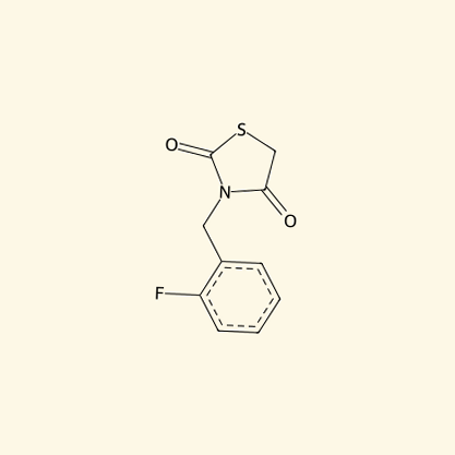 O=C1CSC(=O)N1Cc1ccccc1F